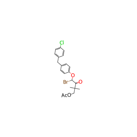 CC(=O)OCC(C)(C)C(=O)C(Br)Oc1ccc(Cc2ccc(Cl)cc2)cc1